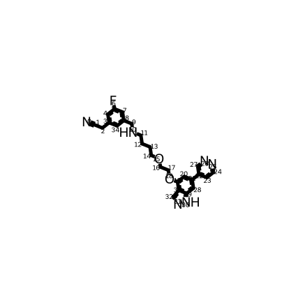 N#CCc1cc(F)cc(CNCCCCOCCOc2cc(-c3ccnnc3)cc3[nH]ncc23)c1